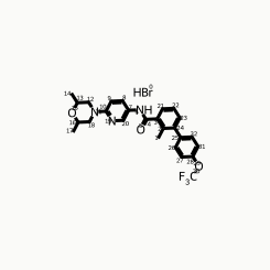 Br.Cc1c(C(=O)Nc2ccc(N3CC(C)OC(C)C3)nc2)cccc1-c1ccc(OC(F)(F)F)cc1